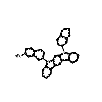 CCCCc1ccc2ccc(-n3c4ccccc4c4cc5c6ccccc6n(-c6ccc7ccccc7c6)c5cc43)cc2c1